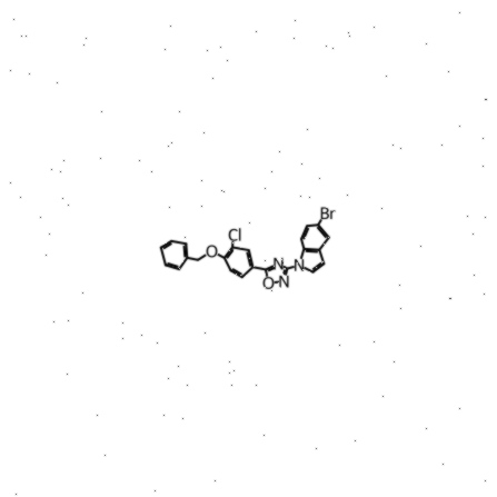 Clc1cc(-c2nc(-n3ccc4cc(Br)ccc43)no2)ccc1OCc1ccccc1